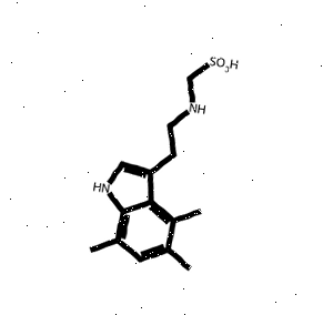 Cc1cc(C)c2[nH]cc(CCNCS(=O)(=O)O)c2c1C